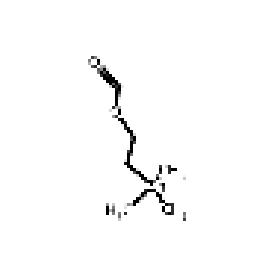 [CH3][Sn]([CH3])([CH3])[CH2]CO[C]=O